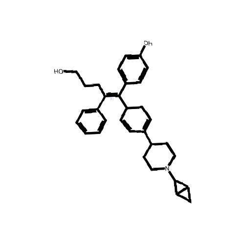 OCCC/C(=C(\c1ccc(O)cc1)C1C=CC(C2CCN(C3C4CC43)CC2)=CC1)c1ccccc1